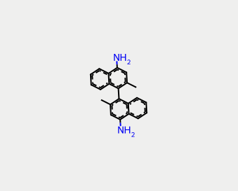 Cc1cc(N)c2ccccc2c1-c1c(C)cc(N)c2ccccc12